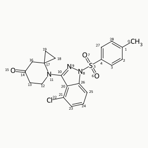 Cc1ccc(S(=O)(=O)n2nc(N3CCC(=O)CC34CC4)c3c(Cl)cccc32)cc1